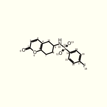 O=c1ccc2c(o1)CCC(NS(=O)(=O)c1ccc(F)cc1)C2